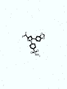 NS(=O)(=O)c1ccc(-n2nc(C(F)F)cc2-c2ccc3c(c2)OCO3)cc1